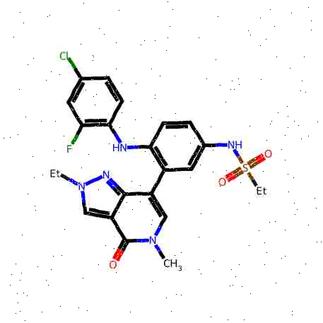 CCn1cc2c(=O)n(C)cc(-c3cc(NS(=O)(=O)CC)ccc3Nc3ccc(Cl)cc3F)c2n1